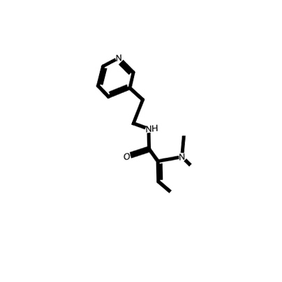 CC=C(C(=O)NCCc1cccnc1)N(C)C